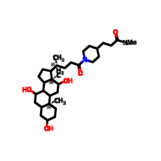 CNC(=O)CCC1CCN(C(=O)CC[C@@H](C)C2CCC3C4C(O)CC5CC(O)CC[C@]5(C)C4CC(O)[C@@]32C)CC1